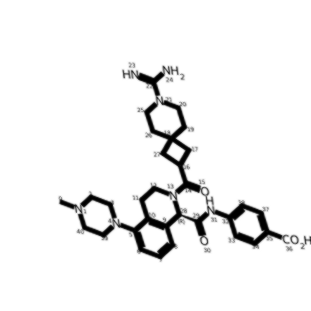 CN1CCN(c2cccc3c2CCN(C(=O)C2CC4(CCN(C(=N)N)CC4)C2)[C@H]3C(=O)Nc2ccc(C(=O)O)cc2)CC1